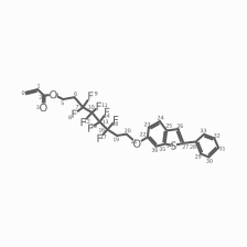 C=CC(=O)OCCC(F)(F)C(F)(F)C(F)(F)C(F)(F)CCOc1ccc2cc(-c3ccccc3)sc2c1